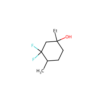 CCC1(O)CCC(C)C(F)(F)C1